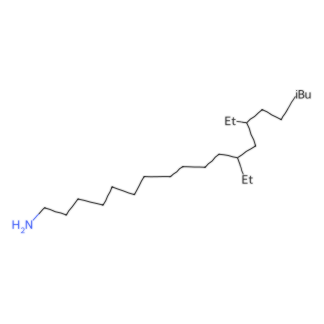 CCC(C)CCC(CC)CC(CC)CCCCCCCCCCCN